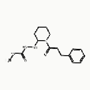 NNC(=O)NNC1CCCCN1C(=O)CCc1ccccc1